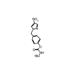 CC(C)(C)NC(=O)Oc1ccc(Cn2cc([N+](=O)[O-])cn2)cc1